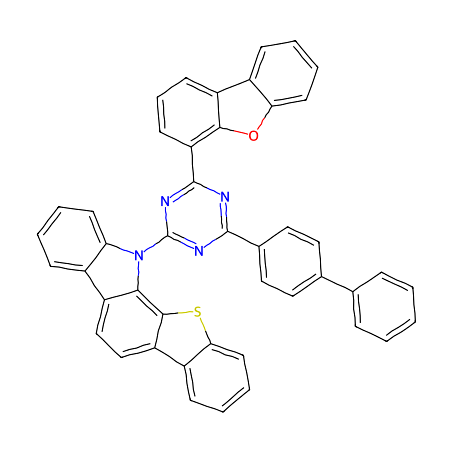 c1ccc(-c2ccc(-c3nc(-c4cccc5c4oc4ccccc45)nc(-n4c5ccccc5c5ccc6c7ccccc7sc6c54)n3)cc2)cc1